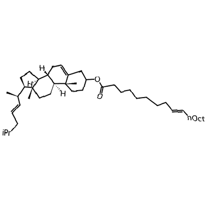 CCCCCCCCC=CCCCCCCCC(=O)OC1CC[C@@]2(C)C(=CC[C@H]3[C@@H]4CC[C@H]([C@H](C)C=CCC(C)C)[C@@]4(C)CC[C@@H]32)C1